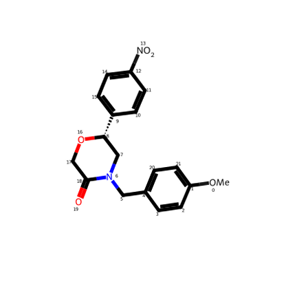 COc1ccc(CN2C[C@@H](c3ccc([N+](=O)[O-])cc3)OCC2=O)cc1